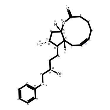 O=C1CCC/C=C\C[C@@H]2[C@@H](CC[C@@H](O)COc3ccccc3)[C@H](O)C[C@@H]2O1